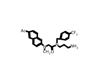 CC(=O)c1ccc2cc(N(C)CC(=O)N(CCCN)Cc3ccc(C(F)(F)F)cc3)ccc2c1